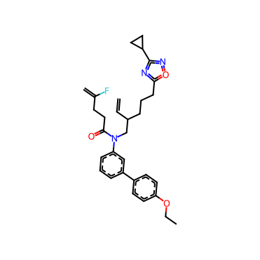 C=CC(CCCc1nc(C2CC2)no1)CN(C(=O)CCC(=C)F)c1cccc(-c2ccc(OCC)cc2)c1